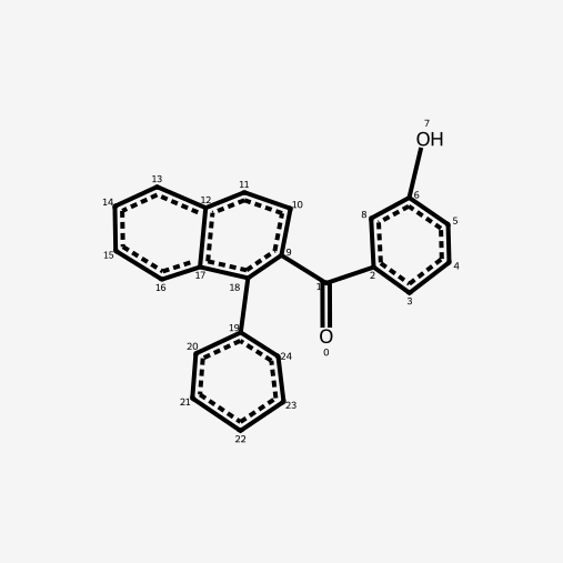 O=C(c1cccc(O)c1)c1ccc2ccccc2c1-c1ccccc1